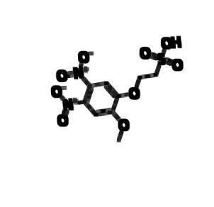 COc1cc([N+](=O)[O-])c([N+](=O)[O-])cc1OCCS(=O)(=O)O